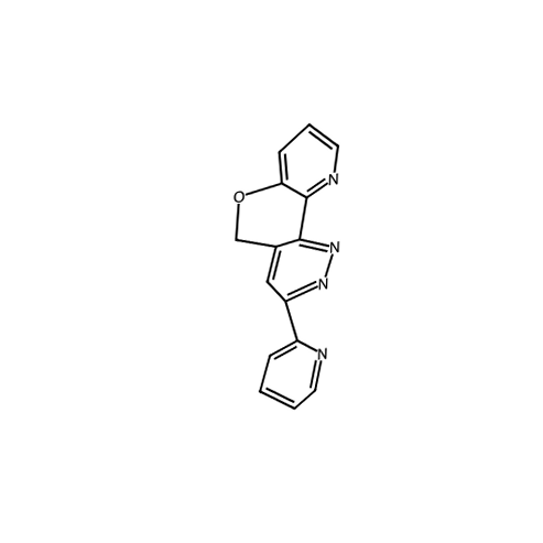 c1ccc(-c2cc3c(nn2)-c2ncccc2OC3)nc1